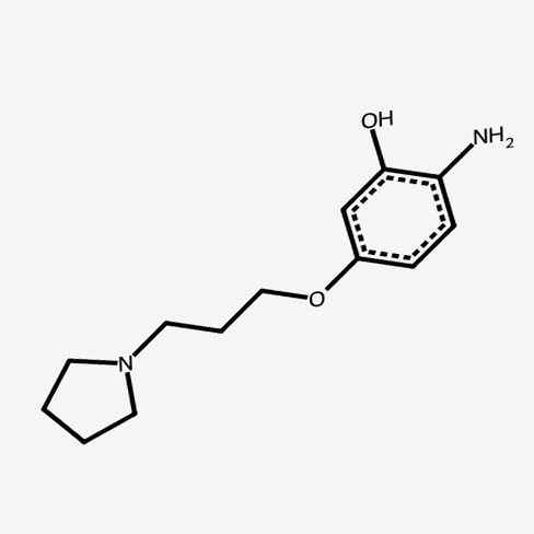 Nc1ccc(OCCCN2CCCC2)cc1O